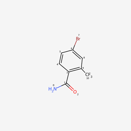 NC(=O)c1ccc(Br)cc1C(F)(F)F